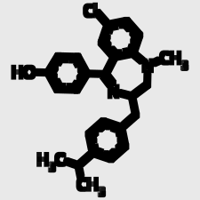 CC(C)c1ccc(CC2CN(C)c3ccc(Cl)cc3C(c3ccc(O)cc3)=N2)cc1